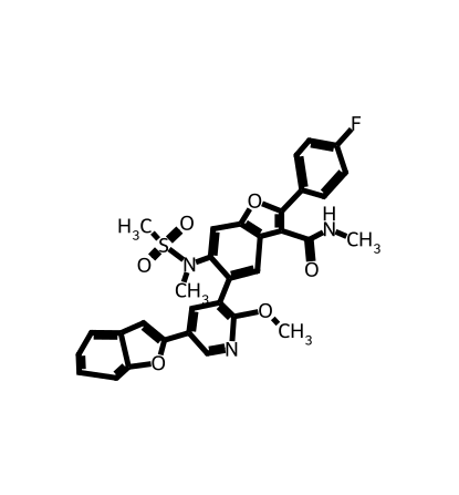 CNC(=O)c1c(-c2ccc(F)cc2)oc2cc(N(C)S(C)(=O)=O)c(-c3cc(-c4cc5ccccc5o4)cnc3OC)cc12